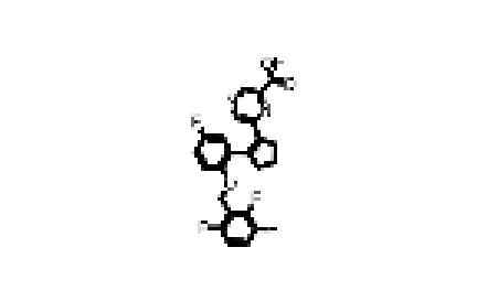 O=C(O)c1cncc(C2=C(c3cc(F)ccc3OCc3c(F)ccc(F)c3F)CCC2)n1